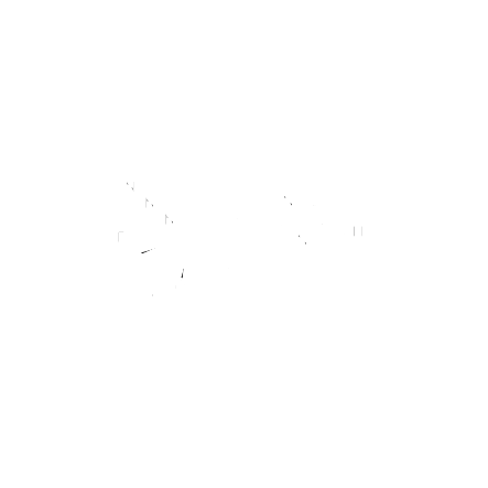 CO[C@H](c1ccc(-c2noc(C)n2)cc1)[C@@H](CF)N=[N+]=[N-]